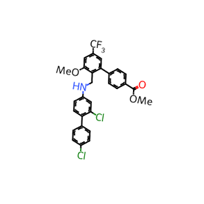 COC(=O)c1ccc(-c2cc(C(F)(F)F)cc(OC)c2CNc2ccc(-c3ccc(Cl)cc3)c(Cl)c2)cc1